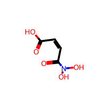 O=C(O)/C=C\C(=O)N(O)O